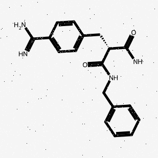 [NH]C(=O)[C@@H](Cc1ccc(C(=N)N)cc1)C(=O)NCc1ccccc1